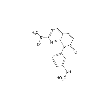 C[S+]([O-])c1ncc2ccc(=O)n(-c3cccc(NC(=O)O)c3)c2n1